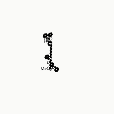 COC(=O)c1cc(C(=O)CN(CCCCCCCCCN2CCC(NC(=O)Nc3ccccc3-c3ccccc3)CC2)Cc2ccccc2)ccc1OCc1ccccc1